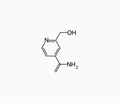 C=C(N)c1ccnc(CO)c1